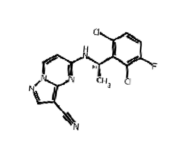 C[C@@H](Nc1ccn2ncc(C#N)c2n1)c1c(Cl)ccc(F)c1Cl